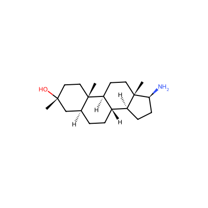 C[C@@]1(O)CC[C@@]2(C)[C@@H](CC[C@@H]3[C@@H]2CC[C@]2(C)[C@@H](N)CC[C@@H]32)C1